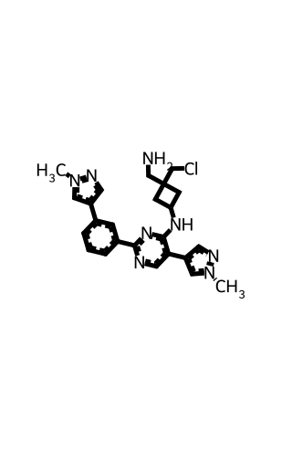 Cn1cc(-c2cccc(-c3ncc(-c4cnn(C)c4)c(NC4CC(CN)(CCl)C4)n3)c2)cn1